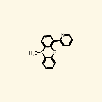 CN1c2ccccc2Oc2c(-c3ccccn3)cccc21